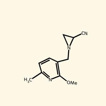 COc1nc(C)ccc1CN1CC1C#N